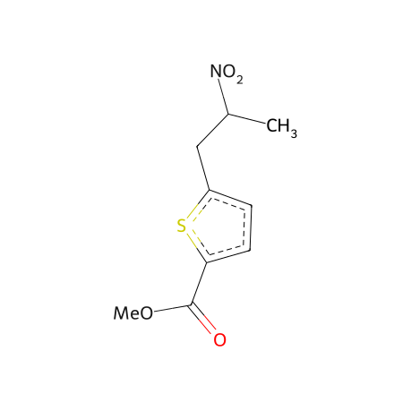 COC(=O)c1ccc(CC(C)[N+](=O)[O-])s1